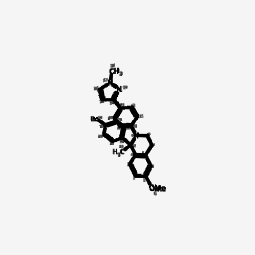 COc1ccc2c(c1)CCN(c1ccc(-c3ccn(C)n3)cc1)C2(C)c1ccc(Br)cc1